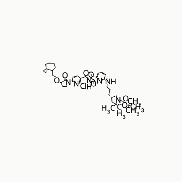 CC(C)(C)OC(=O)N1C[C@@H](CCCNc2cccc(S(=O)(=O)NC(=O)c3ccc(N4CCC(OCCC5CCCCC56CC6)C4=O)nc3Cl)n2)CC1(C)C